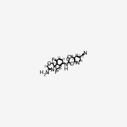 N#Cc1cnc(OC(=O)Nc2ccc(F)c([C@]3(C(F)F)COCC(N)=N3)c2)c(Cl)c1